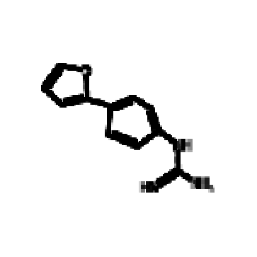 N=C(N)Nc1ccc(-c2ccco2)cc1